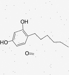 C=O.CCCCCCc1ccc(O)cc1O